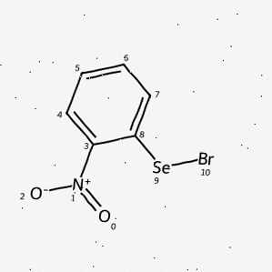 O=[N+]([O-])c1ccccc1[Se]Br